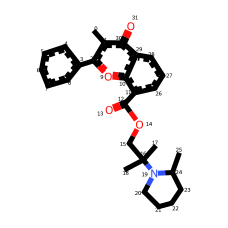 Cc1c(-c2ccccc2)oc2c(C(=O)OCC(C)(C)N3CCCCC3C)cccc2c1=O